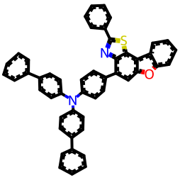 c1ccc(-c2ccc(N(c3ccc(-c4ccccc4)cc3)c3ccc(-c4cc5oc6ccccc6c5c5sc(-c6ccccc6)nc45)cc3)cc2)cc1